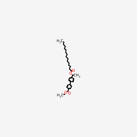 CCCCCCCCCCCCCCCC(=O)OC(C)c1ccc(-c2ccc(C(=O)OCC)cc2)cc1